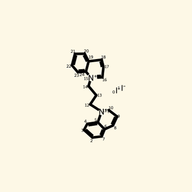 [I-].[I-].c1ccc2c(c1)ccc[n+]2CCC[n+]1cccc2ccccc21